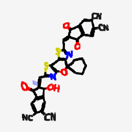 N#Cc1cc2c(cc1C#N)C(=O)C(=Cc1nc3c(s1)-c1sc(/C=C4/C(=O)c5cc(C#N)c(C#N)cc5C4O)nc1OC31CCCCC1)C2=O